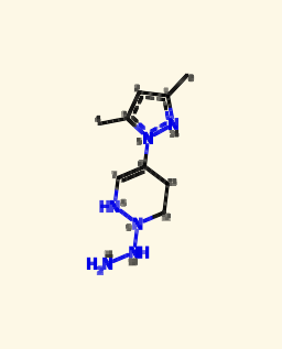 Cc1cc(C)n(C2=CNN(NN)CC2)n1